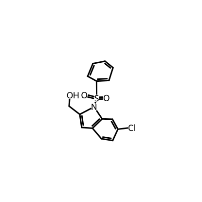 O=S(=O)(c1ccccc1)n1c(CO)cc2ccc(Cl)cc21